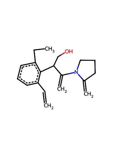 C=Cc1cccc(CC)c1C(CO)C(=C)N1CCCC1=C